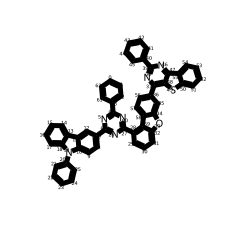 c1ccc(-c2nc(-c3ccc4c(c3)c3ccccc3n4-c3ccccc3)nc(-c3cccc4oc5cc(-c6nc(-c7ccccc7)nc7c6sc6ccccc67)ccc5c34)n2)cc1